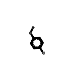 [O]Oc1ccc(Cl)cc1